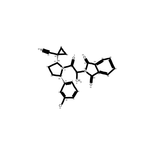 CC(C(=O)N1[C@H](c2cccc(Cl)c2)CC[C@@H]1C1(C#N)CC1)N1C(=O)c2ccccc2C1=O